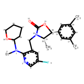 CCN(c1ncc(F)cc1CN1C(=O)O[C@H](c2cc(C(F)(F)F)cc(C(F)(F)F)c2)[C@@H]1C)C1CCCCO1